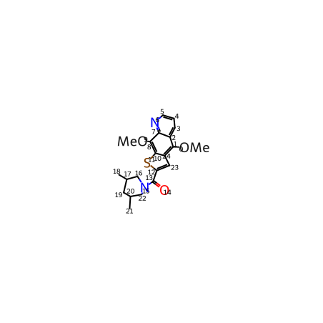 COc1c2cccnc2c(OC)c2sc(C(=O)N3CC(C)CC(C)C3)cc12